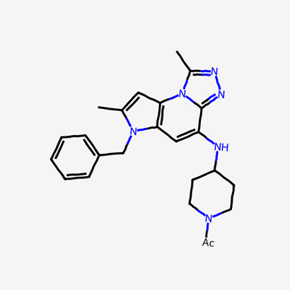 CC(=O)N1CCC(Nc2cc3c(cc(C)n3Cc3ccccc3)n3c(C)nnc23)CC1